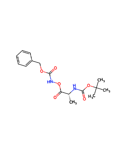 C[C@@H](NC(=O)OC(C)(C)C)C(=O)ONC(=O)OCc1ccccc1